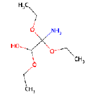 CCOC(O)C(N)(OCC)OCC